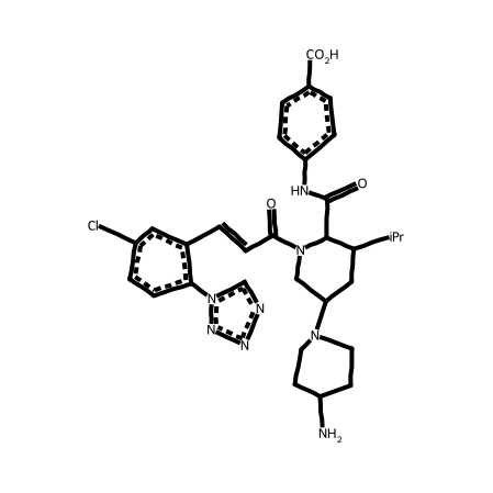 CC(C)C1CC(N2CCC(N)CC2)CN(C(=O)/C=C/c2cc(Cl)ccc2-n2cnnn2)C1C(=O)Nc1ccc(C(=O)O)cc1